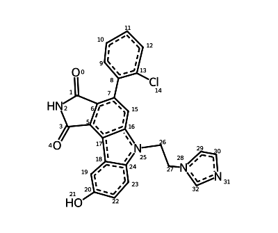 O=C1NC(=O)c2c1c(-c1ccccc1Cl)cc1c2c2cc(O)ccc2n1CCn1ccnc1